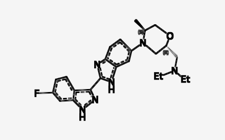 CCN(CC)C[C@@H]1CN(c2ccc3nc(-c4n[nH]c5cc(F)ccc45)[nH]c3c2)[C@@H](C)CO1